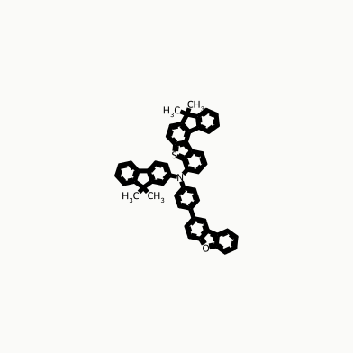 CC1(C)c2ccccc2-c2ccc(N(c3ccc(-c4ccc5oc6ccccc6c5c4)cc3)c3cccc4c3sc3ccc5c(c34)-c3ccccc3C5(C)C)cc21